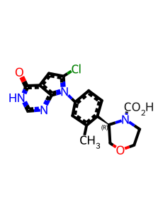 Cc1cc(-n2c(Cl)cc3c(=O)[nH]cnc32)ccc1[C@@H]1COCCN1C(=O)O